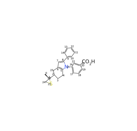 C[C@]1(C2CCc3c(cc(-c4ccccc4)n3-c3cccc(C(=O)O)c3)C2)CS1